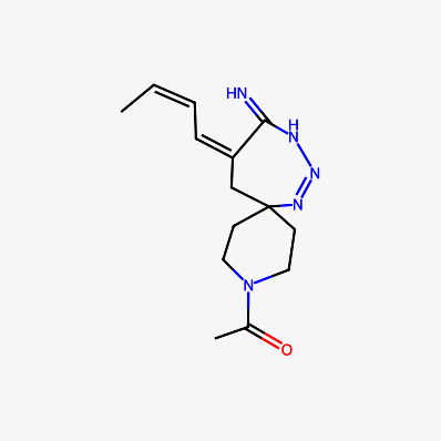 C/C=C\C=C1\CC2(CCN(C(C)=O)CC2)N=NNC1=N